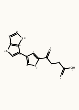 O=C(O)CCC(=O)c1cc(-c2coc3ccsc23)cs1